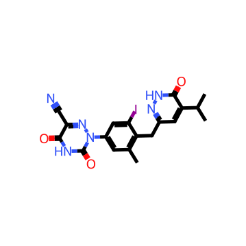 Cc1cc(-n2nc(C#N)c(=O)[nH]c2=O)cc(I)c1Cc1cc(C(C)C)c(=O)[nH]n1